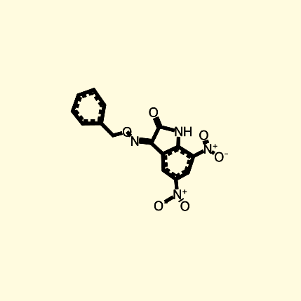 O=C1Nc2c(cc([N+](=O)[O-])cc2[N+](=O)[O-])/C1=N/OCc1ccccc1